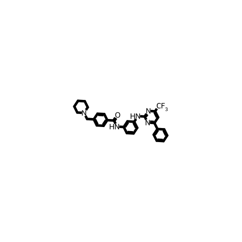 O=C(Nc1cccc(Nc2nc(-c3ccccc3)cc(C(F)(F)F)n2)c1)c1ccc(CN2CCCCC2)cc1